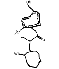 CN(C(=O)c1ccc(O)cc1O)C1CCCCC1O